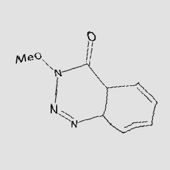 CON1N=NC2C=CC=CC2C1=O